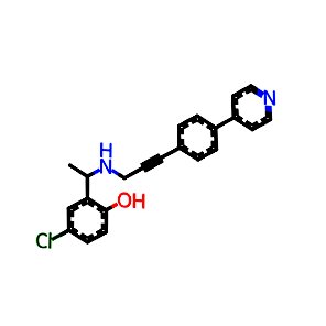 CC(NCC#Cc1ccc(-c2ccncc2)cc1)c1cc(Cl)ccc1O